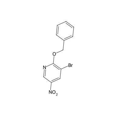 O=[N+]([O-])c1cnc(OCc2ccccc2)c(Br)c1